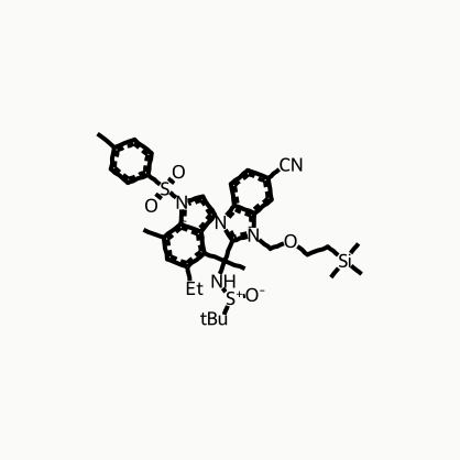 CCc1cc(C)c2c(ccn2S(=O)(=O)c2ccc(C)cc2)c1C(C)(N[S+]([O-])C(C)(C)C)c1nc2ccc(C#N)cc2n1COCC[Si](C)(C)C